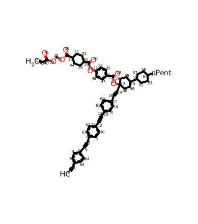 C#Cc1ccc(C#Cc2ccc(C#Cc3ccc(C#CC4(OC(=O)c5ccc(OC(=O)C6CCC(C(=O)OCOC(=O)C=C)CC6)cc5)CCC(C5CCC(CCCCC)CC5)CC4)cc3)cc2)cc1